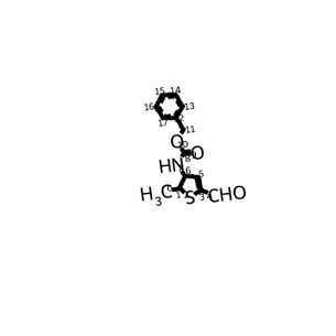 CC1SC(C=O)=CC1NC(=O)OCc1ccccc1